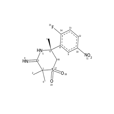 CC1(C)C(=N)N[C@](C)(c2cc([N+](=O)[O-])ccc2F)CS1(=O)=O